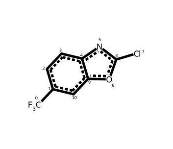 FC(F)(F)c1ccc2nc(Cl)oc2c1